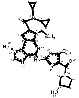 CCn1c(C(=O)N(C2CC2)C2CC2)cc2c3c(ncn3C)c(Nc3nc(C)c(C(=O)N4CC[C@H](O)C4)s3)nc21